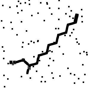 C=CCCCCCCCC[SiH](C)O[SiH3]